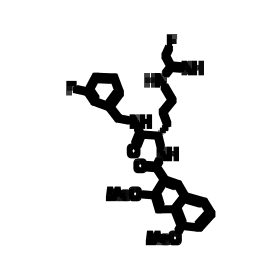 COc1cc2c(OC)cccc2cc1C(=O)N[C@@H](CCCNC(=N)CF)C(=O)NCc1cccc(F)c1